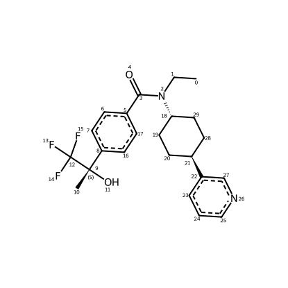 CCN(C(=O)c1ccc([C@](C)(O)C(F)(F)F)cc1)[C@H]1CC[C@H](c2cccnc2)CC1